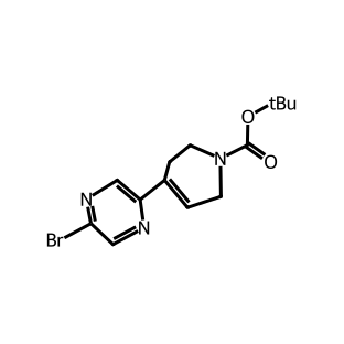 CC(C)(C)OC(=O)N1CC=C(c2cnc(Br)cn2)CC1